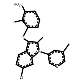 Cc1cncc(-n2c(C)c(Sc3cccc(C(=O)O)c3F)c3ccc(Cl)cc32)c1